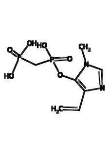 C=Cc1ncn(C)c1OP(=O)(O)CP(=O)(O)O